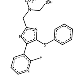 CC(C)(C)CN(Cc1nc(-c2cccnc2F)c(Sc2ccccc2)s1)C(=O)O